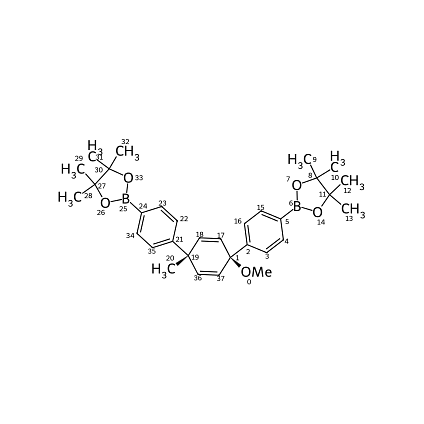 CO[C@]1(c2ccc(B3OC(C)(C)C(C)(C)O3)cc2)C=C[C@@](C)(c2ccc(B3OC(C)(C)C(C)(C)O3)cc2)C=C1